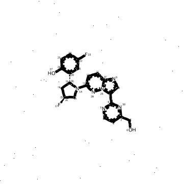 OCc1ccnc(-c2cnc3ccc(N4C[C@@H](F)C[C@@H]4c4cc(F)ccc4O)nn23)n1